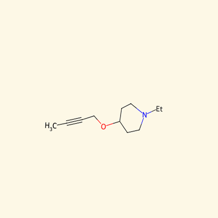 CC#CCOC1CCN(CC)CC1